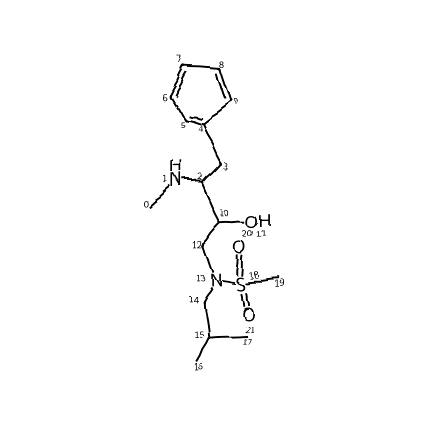 CNC(Cc1ccccc1)C(O)CN(CC(C)C)S(C)(=O)=O